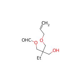 C=CCOCC(CC)(CO)COC=O